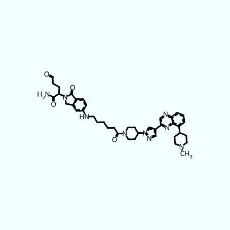 CN1CCC(c2cccc3ncc(-c4cnn(C5CCN(C(=O)CCCCCNc6ccc7c(c6)CN(C(CCC=O)C(N)=O)C7=O)CC5)c4)nc23)CC1